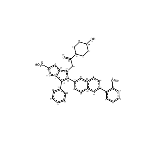 COc1ccccc1-c1ccc2cc(-c3c(-c4ccccc4)c4sc(C(=O)O)cc4n3CC(=O)N3CCC(O)CC3)ccc2n1